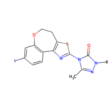 Cc1nn(C(C)C)c(=O)n1-c1nc2c(s1)CCOc1cc(I)ccc1-2